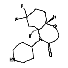 O=C1CO[C@H]2CCC(F)(F)C[C@@H]2N1C1CCNCC1